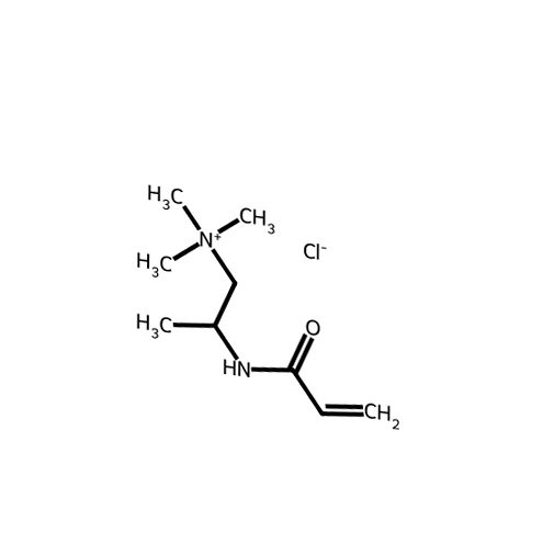 C=CC(=O)NC(C)C[N+](C)(C)C.[Cl-]